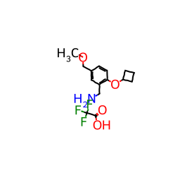 COCc1ccc(OC2CCC2)c(CN)c1.O=C(O)C(F)(F)F